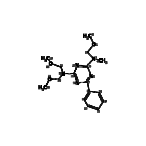 COCN(C)c1nc(-c2ccccc2)nc(N(COC)COC)n1